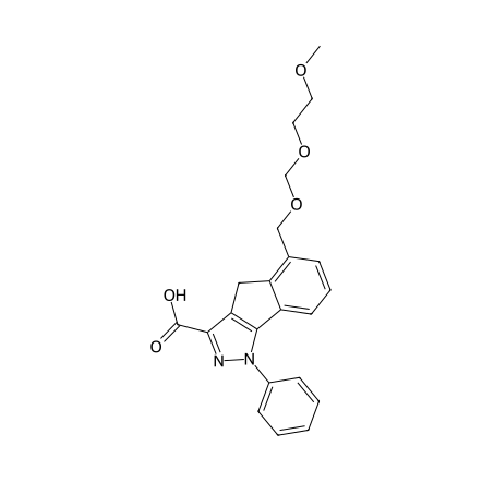 COCCOCOCc1cccc2c1Cc1c(C(=O)O)nn(-c3ccccc3)c1-2